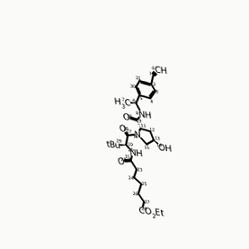 C#Cc1ccc([C@H](C)NC(=O)[C@@H]2C[C@@H](O)CN2C(=O)[C@@H](NC(=O)CCCCCC(=O)OCC)C(C)(C)C)cc1